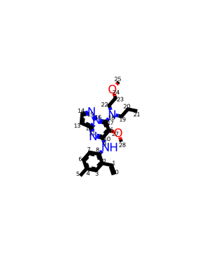 C=Cc1cc(C)ccc1Nc1nc2ccnn2c(N(CCC)CCOC)c1OC